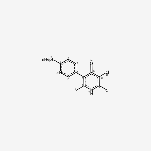 CCCCCCCc1ccc(-c2c(C)[nH]c(C)c(Cl)c2=O)cn1